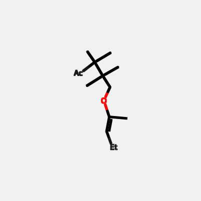 CC/C=C(\C)OCC(C)(C)C(C)(C)C(C)=O